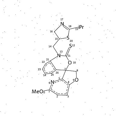 COc1ccc2c(n1)C1(CO2)OC(=S)N(CC2CN=C(C(C)C)S2)c2ccccc21